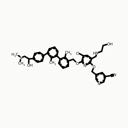 Cc1c(COc2nc(OCc3cncc(C#N)c3)c(CNCCO)cc2Cl)cccc1-c1cccc(-c2ccc(C(O)CN(C)C)cc2)c1C